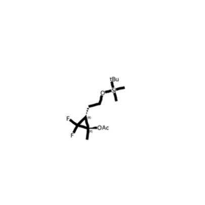 CC(=O)O[C@]1(C)[C@@H](CCO[Si](C)(C)C(C)(C)C)C1(F)F